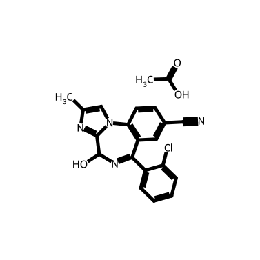 CC(=O)O.Cc1cn2c(n1)C(O)N=C(c1ccccc1Cl)c1cc(C#N)ccc1-2